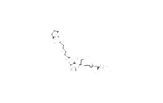 CC(C)C(NC(=O)CCCCC(=O)ON1C(=O)CCC1=O)C(=O)N[C@@H](CCCNC(N)=O)C(=O)C(C)(C)C